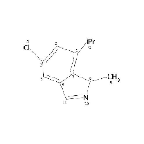 CC(C)c1cc(Cl)cc2c1C(C)N=C2